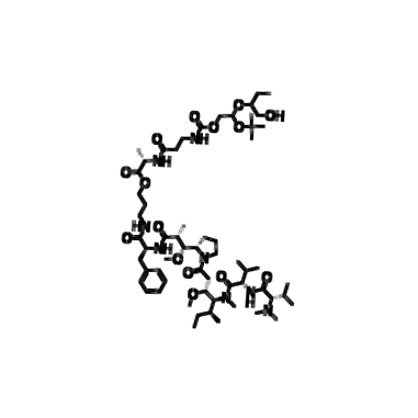 CCC(CO)OC(COC(=O)NCCC(=O)N[C@@H](C)C(=O)OCCCNC(=O)[C@H](Cc1ccccc1)NC(=O)[C@H](C)[C@@H](OC)[C@@H]1CCCN1C(=O)C[C@@H](OC)[C@H]([C@@H](C)CC)N(C)C(=O)[C@@H](NC(=O)[C@H](C(C)C)N(C)C)C(C)C)OC(C)(C)C